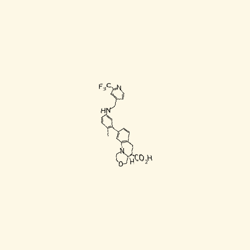 Cc1ccc(NCc2ccnc(C(F)(F)F)c2)cc1-c1ccc2c(c1)N1CCOC[C@@H]1[C@H](C(=O)O)C2